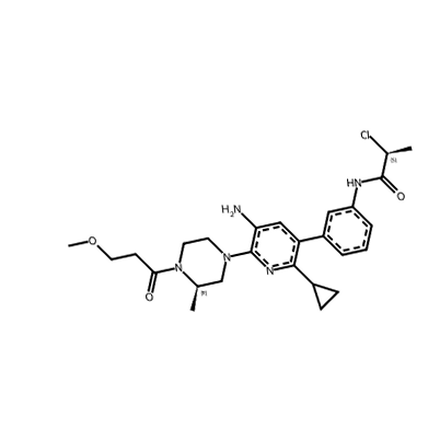 COCCC(=O)N1CCN(c2nc(C3CC3)c(-c3cccc(NC(=O)[C@H](C)Cl)c3)cc2N)C[C@H]1C